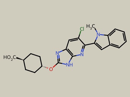 Cn1c(-c2nc3[nH]c(O[C@H]4CC[C@H](C(=O)O)CC4)nc3cc2Cl)cc2ccccc21